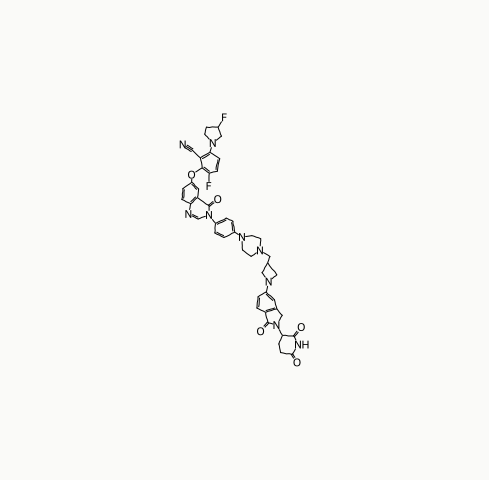 N#Cc1c(N2CCC(F)C2)ccc(F)c1Oc1ccc2ncn(-c3ccc(N4CCN(CC5CN(c6ccc7c(c6)CN(C6CCC(=O)NC6=O)C7=O)C5)CC4)cc3)c(=O)c2c1